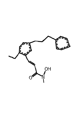 CCc1ccc(CCCc2ccccc2)cc1/C=C/C(=O)N(C)O